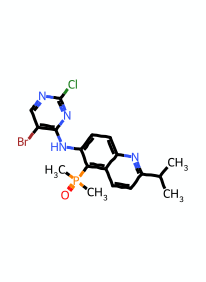 CC(C)c1ccc2c(P(C)(C)=O)c(Nc3nc(Cl)ncc3Br)ccc2n1